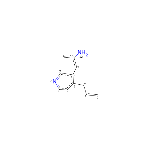 C=CCc1ccncc1/C=C(\C)N